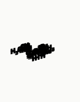 COc1c(NC(=O)NC2CC[C@H](Oc3ccc4nnc([C@@H]5CC[C@H](C)N5C)n4c3)c3ccccc32)cc(C(C)(C)C)cc1NS(C)(=O)=O